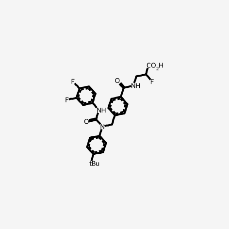 CC(C)(C)c1ccc(N(Cc2ccc(C(=O)NCC(F)C(=O)O)cc2)C(=O)Nc2ccc(F)c(F)c2)cc1